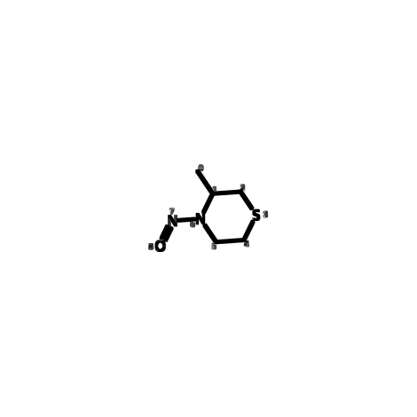 CC1CSCCN1N=O